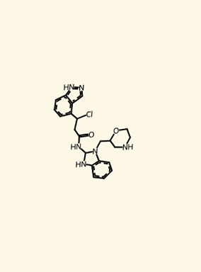 O=C(CC(Cl)c1cccc2[nH]ncc12)NC1Nc2ccccc2N1CC1CNCCO1